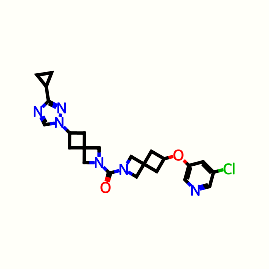 O=C(N1CC2(CC(Oc3cncc(Cl)c3)C2)C1)N1CC2(CC(n3cnc(C4CC4)n3)C2)C1